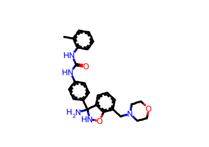 Cc1ccccc1NC(=O)Nc1ccc(C2(N)NOc3c(CN4CCOCC4)cccc32)cc1